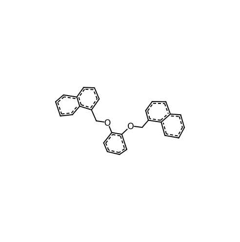 c1ccc(OCc2cccc3ccccc23)c(OCc2cccc3ccccc23)c1